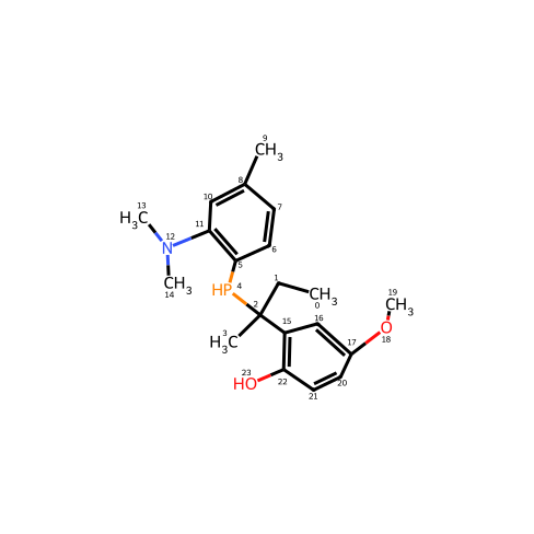 CCC(C)(Pc1ccc(C)cc1N(C)C)c1cc(OC)ccc1O